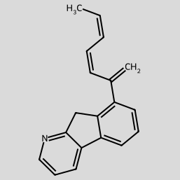 C=C(/C=C\C=C/C)c1cccc2c1Cc1ncccc1-2